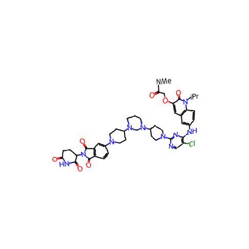 CNC(=O)COc1cc2cc(Nc3nc(N4CCC(N5CCCN(C6CCN(c7ccc8c(c7)C(=O)N(C7CCC(=O)NC7=O)C8=O)CC6)C5)CC4)ncc3Cl)ccc2n(C(C)C)c1=O